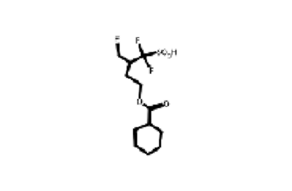 O=C(OCCC(CF)C(F)(F)S(=O)(=O)O)C1CCCCC1